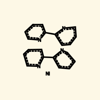 [Ni].c1ccc(-c2ccccn2)nc1.c1ccc(-c2ccccn2)nc1